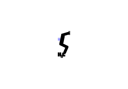 CC/C=C\I